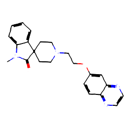 CN1C(=O)C2(CCN(CCOc3ccc4nccnc4c3)CC2)c2ccccc21